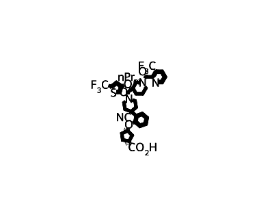 CCC[C@H]1N(C(=O)c2ncccc2C(F)(F)F)CCC[C@@]1(Oc1csc(C(F)(F)F)c1)C(=O)N1CCC(C#N)(c2ccccc2O[C@H]2CC[C@H](C(=O)O)C2)CC1